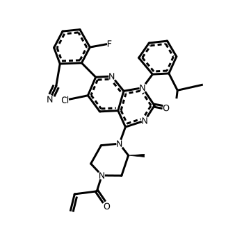 C=CC(=O)N1CCN(c2nc(=O)n(-c3ccccc3C(C)C)c3nc(-c4c(F)cccc4C#N)c(Cl)cc23)[C@@H](C)C1